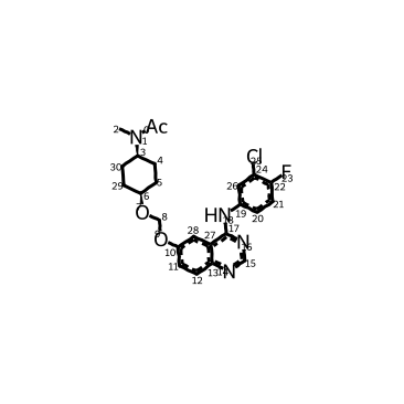 CC(=O)N(C)[C@H]1CC[C@@H](OCOc2ccc3ncnc(Nc4ccc(F)c(Cl)c4)c3c2)CC1